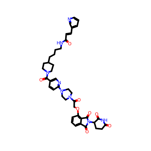 O=C(/C=C/c1cccnc1)NCCCCC1CCN(C(=O)c2ccc(N3CCN(C(=O)COc4cccc5c4C(=O)N(C4CCC(=O)NC4=O)C5=O)CC3)nc2)CC1